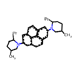 CC1CCC(C(C)C)N(c2cc3ccc4cc(N5CC(C)CCC5C(C)C)cc5ccc(c2)c3c45)C1